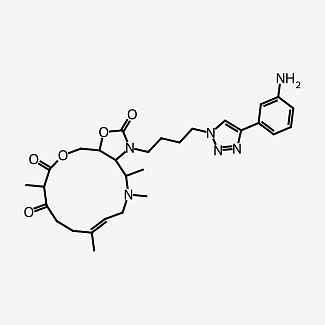 C/C1=C\CN(C)C(C)C2C(COC(=O)C(C)C(=O)CC1)OC(=O)N2CCCCn1cc(-c2cccc(N)c2)nn1